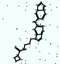 O=C(NCCCn1ccc2cnc(Nc3ccc4nccn4c3)nc21)C1CCC1